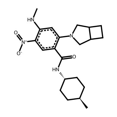 CNc1cc(N2CC3CCC3C2)c(C(=O)N[C@H]2CC[C@H](C)CC2)cc1[N+](=O)[O-]